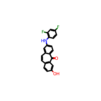 O=c1c2ccc(Nc3ccc(F)cc3F)cc2ccc2ccc(O)cc12